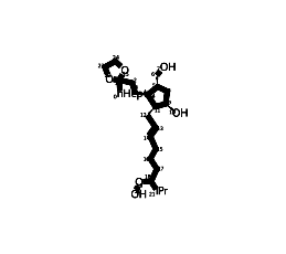 CCCCCCCC1(CC[C@H]2[C@H](CO)C[C@H](O)[C@@H]2CC=CCCCC(OO)C(C)C)OCCO1